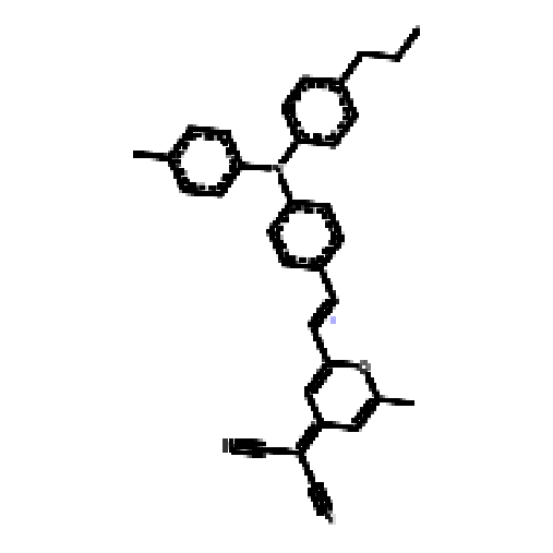 CCCc1ccc(N(c2ccc(C)cc2)c2ccc(/C=C/C3=CC(=C(C#N)C#N)C=C(C)O3)cc2)cc1